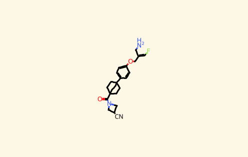 N#CC1CN(C(=O)C23CCC(c4ccc(OC/C(=C/F)CN)cc4)(CC2)CC3)C1